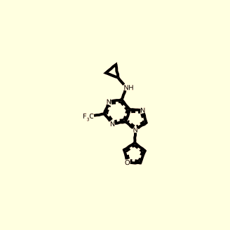 FC(F)(F)c1nc(NC2CC2)c2ncn(-c3ccoc3)c2n1